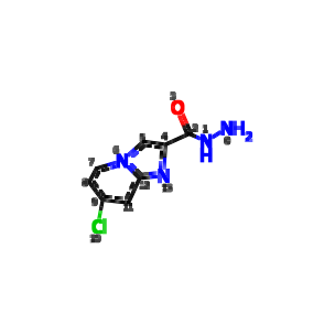 NNC(=O)c1cn2ccc(Cl)cc2n1